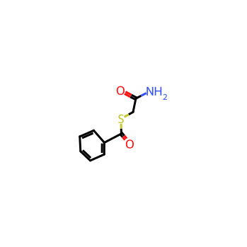 NC(=O)CSC(=O)c1ccccc1